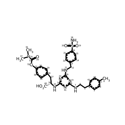 Cc1ccc(CCNc2nc(NCc3ccc(S(N)(=O)=O)cc3)nc(N[C@@H](Cc3ccc(OC(=O)N(C)C)cc3)C(=O)O)n2)cc1